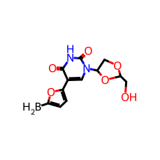 Bc1ccc(-c2cn(C3COC(CO)O3)c(=O)[nH]c2=O)o1